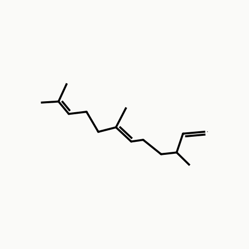 [CH]=CC(C)CC/C=C(\C)CCC=C(C)C